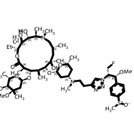 CC[C@H]1OC(=O)[C@H](C)[C@@H](O[C@H]2C[C@@](C)(OC)[C@@H](O)[C@H](C)O2)C(C)[C@@H](O[C@H]2C[C@@H](N(C)CCc3cn([C@H](CF)[C@H](OC)c4ccc([S+](C)[O-])cc4)nn3)C[C@@H](C)O2)[C@](C)(O)C[C@@H](C)CN(C)[C@H](C)[C@@H](O)[C@]1(C)O